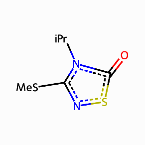 CSc1nsc(=O)n1C(C)C